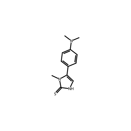 CN(C)c1ccc(-c2c[nH]c(=S)n2C)cc1